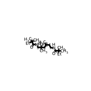 CCC(C)(C)C(=O)NCCC(C)CC(C)(C)CNC(=O)C(C)(C)CC